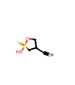 C#CC1COP(O)(=S)C1